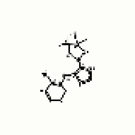 CC1(C)OB(c2sccc2NC2=C(C#N)C=CCC2)OC1(C)C